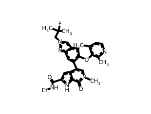 CCNC(=O)c1cc2c(-c3cc4nn(CC(C)(C)F)cc4cc3Oc3c(C)ccnc3C)cn(C)c(=O)c2[nH]1